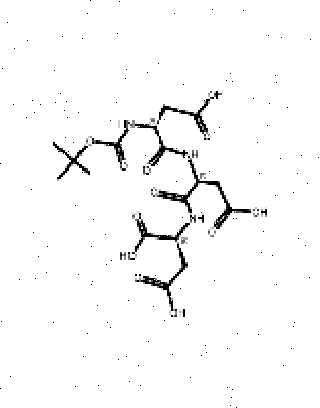 CC(C)(C)OC(=O)N[C@@H](CC(=O)O)C(=O)N[C@@H](CC(=O)O)C(=O)N[C@@H](CC(=O)O)C(=O)O